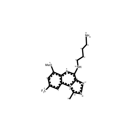 COc1cc(C(F)(F)F)cc2c1nc(NCCCCN)c1nnc(C)n12